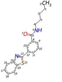 CCCCCNC(=O)c1cccc(-c2nc3ccccc3s2)c1